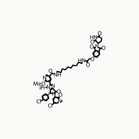 COc1ncc(C(=O)NCCCCCCCCCCNC(=O)COc2ccc3c(c2)C(=O)N(C2CCC(=O)NC2=O)C3=O)cc1-c1nc2c(n1C(C)C)[C@H](c1ccc(Cl)cc1)N(c1cc(Cl)cn(C)c1=O)C2=O